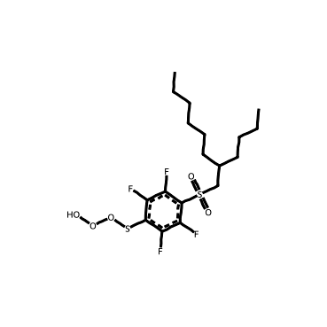 CCCCCCC(CCCC)CS(=O)(=O)c1c(F)c(F)c(SOOO)c(F)c1F